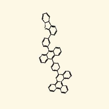 C1=CC2Sc3c(-c4cccc(-c5c6ccccc6c(C6=CC=C(c7cc8c9ccccc9c9ccccc9c8c8ccccc78)CC6)c6ccccc56)c4)cccc3C2C=C1